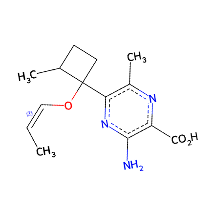 C/C=C\OC1(c2nc(N)c(C(=O)O)nc2C)CCC1C